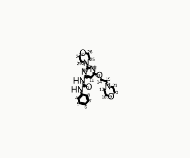 O=C(Nc1ccccc1)Nc1cc(OCCN2CCOCC2)nc(N2CCOCC2)n1